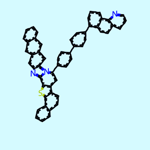 c1ccc2cc3cc4c(cc3cc2c1)nc1c2sc3c5ccccc5ccc3c2cc(-c2ccc(-c3ccc(-c5cccc6c5ccc5cccnc56)cc3)cc2)n41